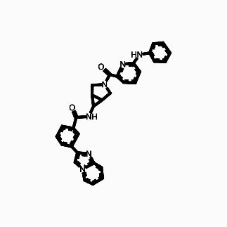 O=C(NC1C2CN(C(=O)c3cccc(Nc4ccccc4)n3)CC21)c1cccc(-c2cn3ccccc3n2)c1